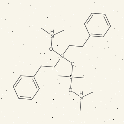 C[SiH](C)O[Si](C)(C)O[Si](CCc1ccccc1)(CCc1ccccc1)O[SiH](C)C